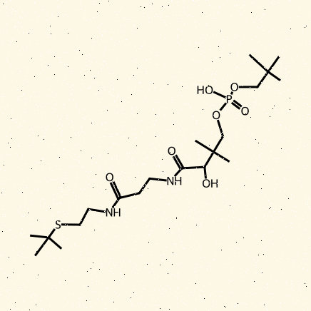 CC(C)(C)COP(=O)(O)OCC(C)(C)C(O)C(=O)NCCC(=O)NCCSC(C)(C)C